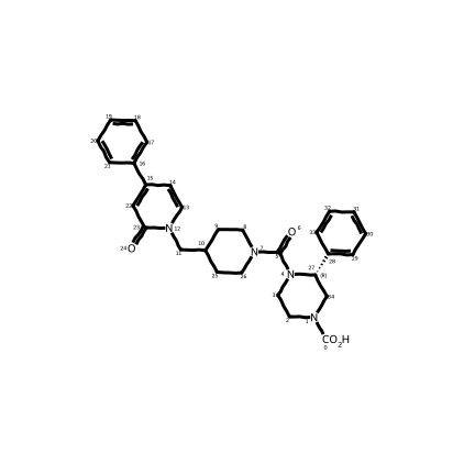 O=C(O)N1CCN(C(=O)N2CCC(Cn3ccc(-c4ccccc4)cc3=O)CC2)[C@H](c2ccccc2)C1